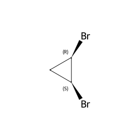 Br[C@@H]1C[C@@H]1Br